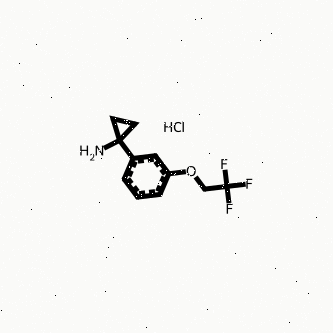 Cl.NC1(c2cccc(OCC(F)(F)F)c2)CC1